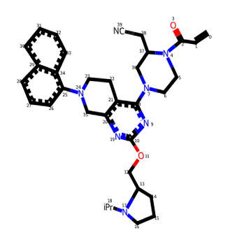 C=CC(=O)N1CCN(c2nc(OCC3CCCN3C(C)C)nc3c2CCN(c2cccc4ccccc24)C3)CC1CC#N